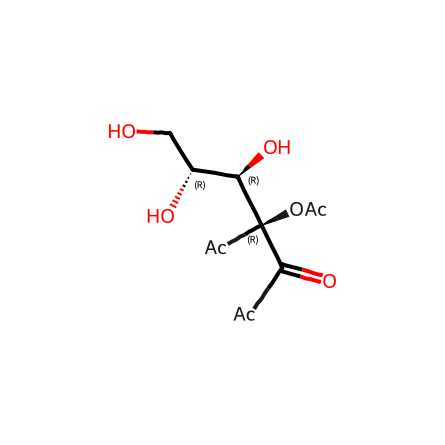 CC(=O)O[C@](C(C)=O)(C(=O)C(C)=O)[C@H](O)[C@H](O)CO